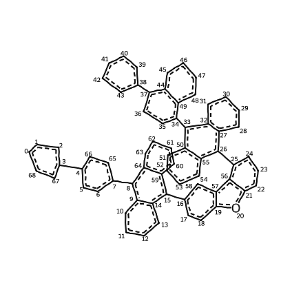 c1ccc(-c2ccc(-c3c4ccccc4c(-c4ccc5oc6cccc(-c7c8ccccc8c(-c8ccc(-c9ccccc9)c9ccccc89)c8ccccc78)c6c5c4)c4ccccc34)cc2)cc1